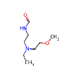 CCN(CCNC=O)CCOC